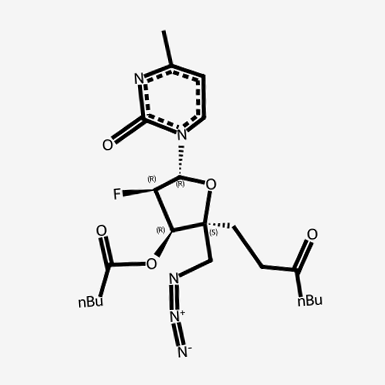 CCCCC(=O)CC[C@@]1(CN=[N+]=[N-])O[C@@H](n2ccc(C)nc2=O)[C@H](F)[C@@H]1OC(=O)CCCC